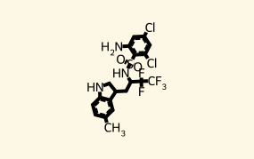 Cc1ccc2c(c1)C(CC(NS(=O)(=O)c1c(N)cc(Cl)cc1Cl)C(F)(F)C(F)(F)F)CN2